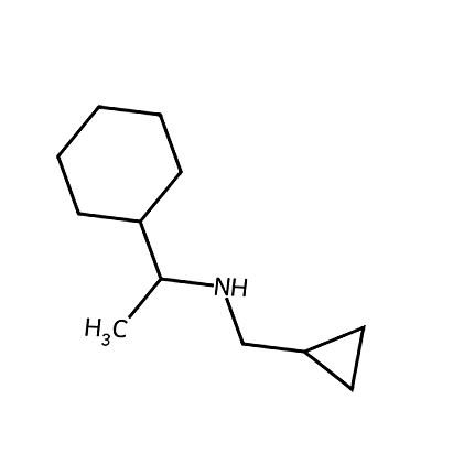 CC(NCC1CC1)C1CCCCC1